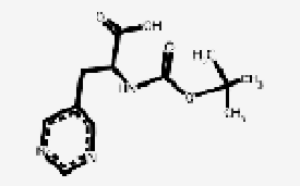 CC(C)(C)OC(=O)NC(Cc1cncnc1)C(=O)O